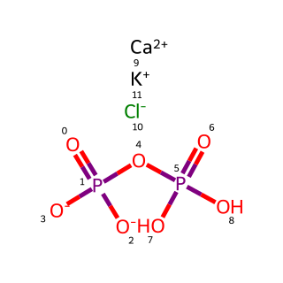 O=P([O-])([O-])OP(=O)(O)O.[Ca+2].[Cl-].[K+]